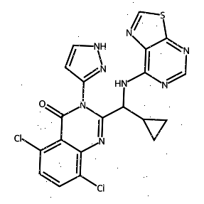 O=c1c2c(Cl)ccc(Cl)c2nc(C(Nc2ncnc3scnc23)C2CC2)n1-c1cc[nH]n1